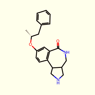 C[C@H](Cc1ccccc1)Oc1ccc2c(c1)C(=O)NCC1CNCC21